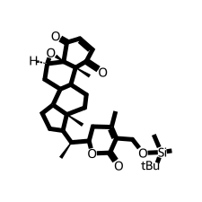 CC1=C(CO[Si](C)(C)C(C)(C)C)C(=O)OC([C@@H](C)C2CCC3C4C[C@H]5O[C@]56C(=O)C=CC(=O)[C@]6(C)C4CC[C@@]32C)C1